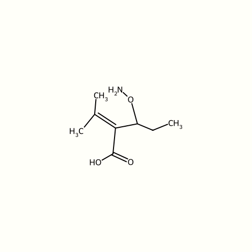 CCC(ON)C(C(=O)O)=C(C)C